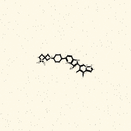 Cc1c(-c2[nH]c3ccc(C4CCC(N5CC6(CCS6(=O)=O)C5)CC4)nc3c2C(C)C)cn2nccc2c1C